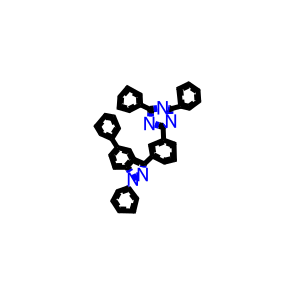 c1ccc(-c2ccc3c(c2)c(-c2cccc(-c4nc(-c5ccccc5)nc(-c5ccccc5)n4)c2)nn3-c2ccccc2)cc1